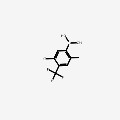 Cc1cc(C(F)(F)F)c(Cl)cc1B(O)O